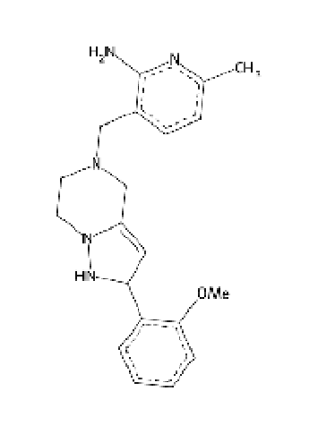 COc1ccccc1C1C=C2CN(Cc3ccc(C)nc3N)CCN2N1